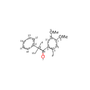 COc1cc(C)c(C(=O)C(C)(C)c2ccccc2)cc1OC